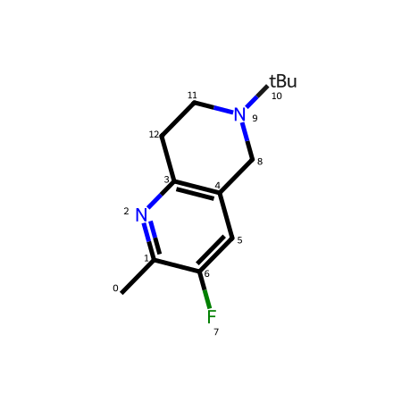 Cc1nc2c(cc1F)CN(C(C)(C)C)CC2